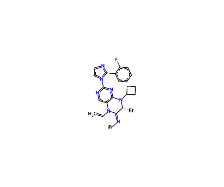 C=CN1/C(=N\C(C)C)[C@@H](CC)N(C2CCC2)c2nc(-n3ccnc3-c3ccccc3F)ncc21